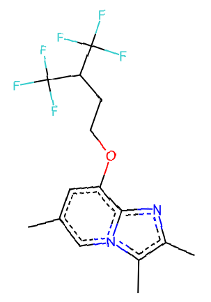 Cc1cc(OCCC(C(F)(F)F)C(F)(F)F)c2nc(C)c(C)n2c1